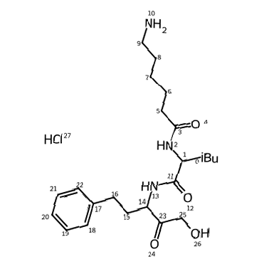 CCC(C)C(NC(=O)CCCCCN)C(=O)NC(CCc1ccccc1)C(=O)CO.Cl